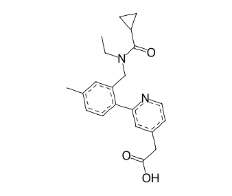 CCN(Cc1cc(C)ccc1-c1cc(CC(=O)O)ccn1)C(=O)C1CC1